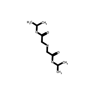 CC(C)OC(=O)C[N]CC(=O)OC(C)C